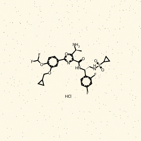 C[C@H](N)c1oc(-c2ccc(OC(F)F)c(OCC3CC3)c2)nc1C(=O)N[C@H](CNS(=O)(=O)C1CC1)c1ccc(F)cc1F.Cl